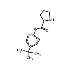 CC(C)(C)c1ccc(NC(=O)C2CCCN2)cc1